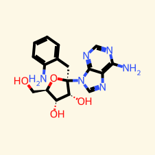 Nc1ccccc1C[C@@]1(n2cnc3c(N)ncnc32)O[C@H](CO)[C@@H](O)[C@H]1O